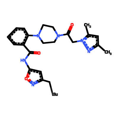 Cc1cc(C)n(CC(=O)N2CCN(c3ccccc3C(=O)Nc3cc(CC(C)(C)C)no3)CC2)n1